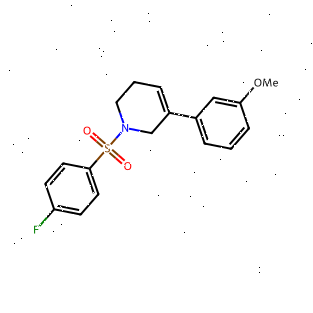 COc1cccc(C2=CCCN(S(=O)(=O)c3ccc(F)cc3)C2)c1